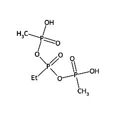 CCP(=O)(OP(C)(=O)O)OP(C)(=O)O